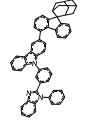 c1ccc(-n2c(-c3cccc(-n4c5ccccc5c5cc(-c6cccc7c6-c6ccccc6C76C7CC8CC(C7)CC6C8)ccc54)c3)nc3ccccc32)cc1